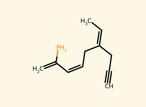 C#CC/C(=C/C)C/C=C\C(=C)P